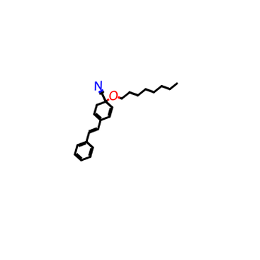 CCCCCCCCOC1(C#N)C=CC(C=Cc2ccccc2)=CC1